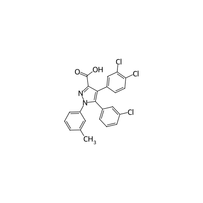 Cc1cccc(-n2nc(C(=O)O)c(-c3ccc(Cl)c(Cl)c3)c2-c2cccc(Cl)c2)c1